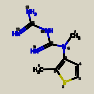 Cc1sccc1N(C)C(=N)NC(=N)N